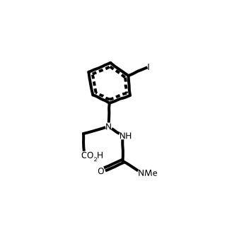 CNC(=O)NN(CC(=O)O)c1cccc(I)c1